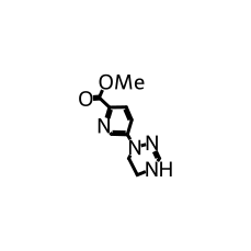 COC(=O)c1ccc(N2CCNC=N2)cn1